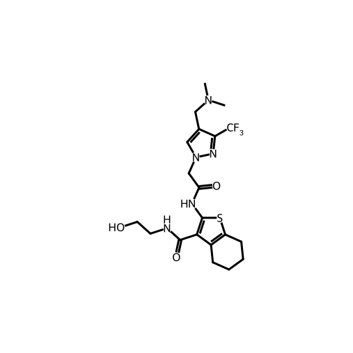 CN(C)Cc1cn(CC(=O)Nc2sc3c(c2C(=O)NCCO)CCCC3)nc1C(F)(F)F